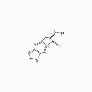 O=C1/C(=N\O)Cc2cc3c(cc21)OCO3